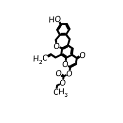 C=CCc1c2c(cc3c(=O)cc(OC(=O)OCC)oc13)Cc1ccc(O)cc1CO2